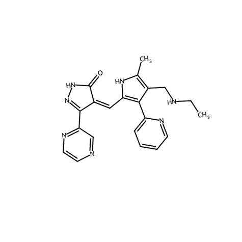 CCNCc1c(C)[nH]c(C=C2C(=O)NN=C2c2cnccn2)c1-c1ccccn1